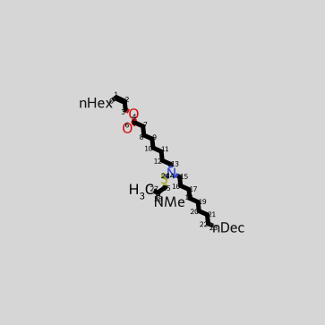 CCCCCC/C=C\COC(=O)CCCCCCCN(CCCCCCCCCCCCCCCCCC)SCC(C)NC